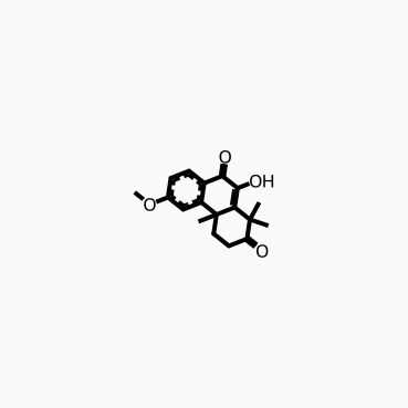 COc1ccc2c(c1)C1(C)CCC(=O)C(C)(C)C1=C(O)C2=O